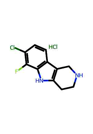 Cl.Fc1c(Cl)ccc2c3c([nH]c12)CCNC3